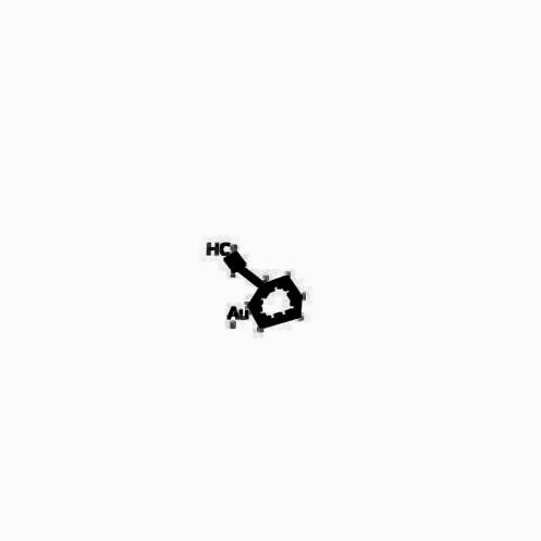 C#Cc1ccccc1.[Au]